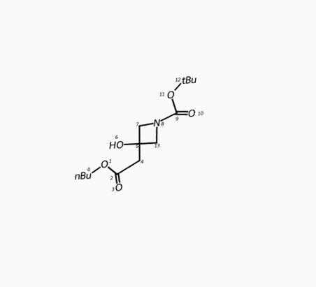 CCCCOC(=O)CC1(O)CN(C(=O)OC(C)(C)C)C1